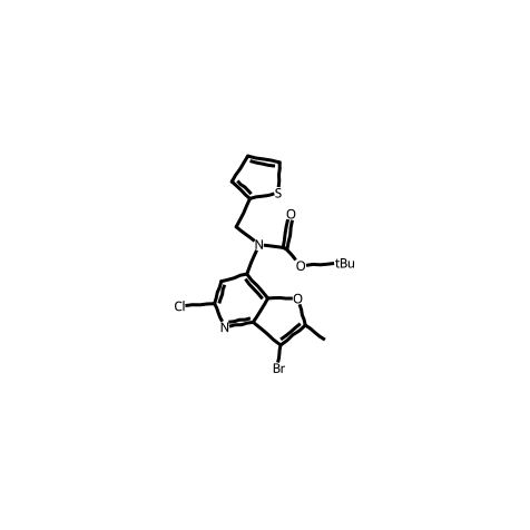 Cc1oc2c(N(Cc3cccs3)C(=O)OC(C)(C)C)cc(Cl)nc2c1Br